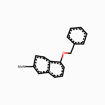 CNc1ccc2c(OCc3ccccc3)cccc2c1